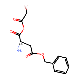 N[C@@H](CC(=O)OCc1ccccc1)C(=O)OC(=O)CBr